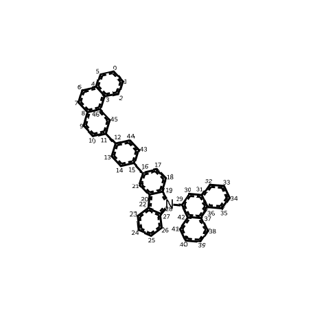 c1ccc2c(c1)ccc1ccc(-c3ccc(-c4ccc5c(c4)c4ccccc4n5-c4cc5ccccc5c5ccccc45)cc3)cc12